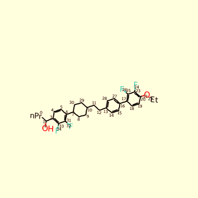 CCCC(O)c1ccc(C2CCC(CCc3ccc(-c4ccc(OCC)c(F)c4F)cc3)CC2)c(F)c1F